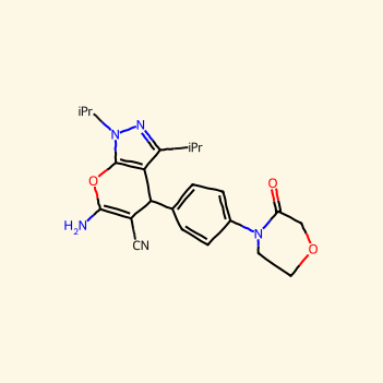 CC(C)c1nn(C(C)C)c2c1C(c1ccc(N3CCOCC3=O)cc1)C(C#N)=C(N)O2